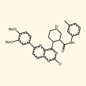 COc1ccc(-c2ccc3nc(Cl)nc(N4CCNCC4C(=O)Nc4cccc(C)c4)c3n2)cc1OC